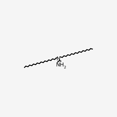 CCCCCCCCCCCCCCCCCCN(CCCCCCCCCCCCCCCCCC)C(C)CN